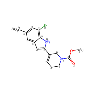 CC(C)(C)OC(=O)N1CCC=C(c2cc3cc(C(=O)O)cc(Br)c3[nH]2)C1